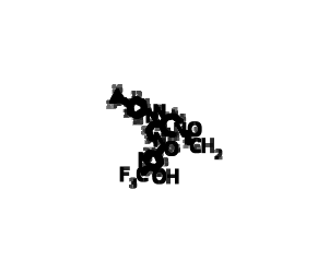 C=CC(=O)N1CCc2nn(-c3ccc(C4CC4)cc3)c3c2C(C1)N(C(=O)c1cnc(C(F)(F)F)c(O)c1)CC3